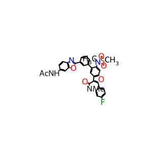 CNC(=O)c1c(-c2ccc(F)cc2)oc2cc(N(C)S(C)(=O)=O)c(-c3cccc(-c4nc5ccc(NC(C)=O)cc5o4)c3)cc12